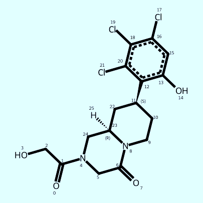 O=C(CO)N1CC(=O)N2CC[C@H](c3c(O)cc(Cl)c(Cl)c3Cl)C[C@@H]2C1